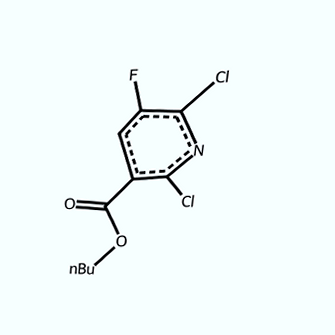 CCCCOC(=O)c1cc(F)c(Cl)nc1Cl